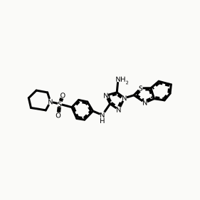 Nc1nc(Nc2ccc(S(=O)(=O)N3CCCCC3)cc2)nn1-c1nc2ccccc2s1